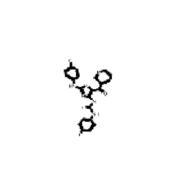 O=C(Nc1ccc(F)cc1)Nc1nc(Nc2ccc(Cl)cc2)sc1C(=O)c1cccnc1